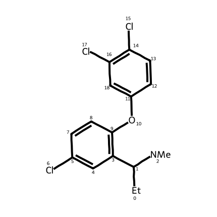 CCC(NC)c1cc(Cl)ccc1Oc1ccc(Cl)c(Cl)c1